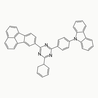 C1=CCC(c2nc(-c3ccc(-n4c5ccccc5c5ccccc54)cc3)nc(-c3ccc4c(c3)-c3cccc5cccc-4c35)n2)C=C1